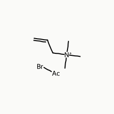 C=CC[N+](C)(C)C.CC(=O)Br